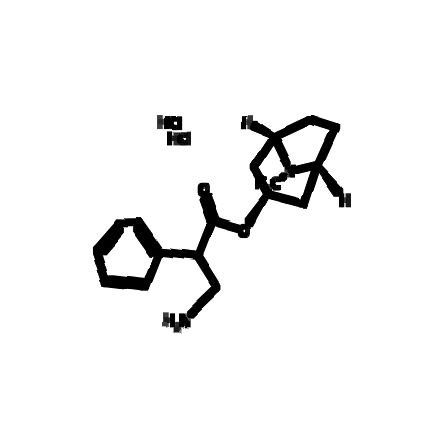 CN1[C@@H]2CC[C@H]1C[C@H](OC(=O)C(CN)c1ccccc1)C2.Cl.Cl